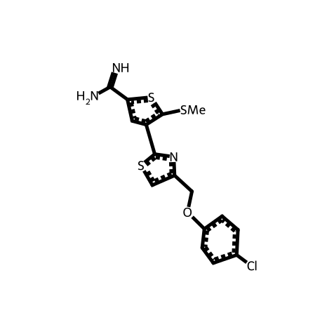 CSc1sc(C(=N)N)cc1-c1nc(COc2ccc(Cl)cc2)cs1